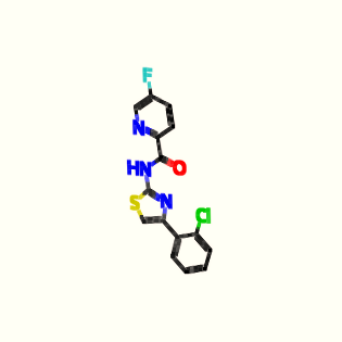 O=C(Nc1nc(-c2ccccc2Cl)cs1)c1ccc(F)cn1